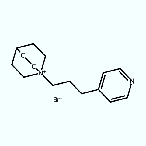 [Br-].c1cc(CCC[N+]23CCC(CC2)CC3)ccn1